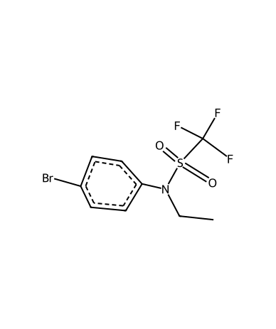 CCN(c1ccc(Br)cc1)S(=O)(=O)C(F)(F)F